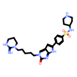 N=C1NCCCN1CCCCCn1cc2cc(-c3ccc(S(=O)(=O)NC4CCNCC4)cc3)[nH]c2nc1=O